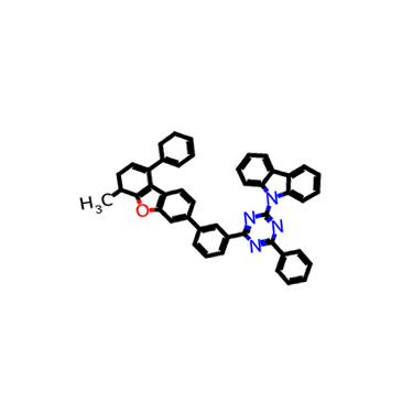 CC1CC=C(C2=CC=CCC2)c2c1oc1cc(-c3cccc(-c4nc(-c5ccccc5)nc(-n5c6ccccc6c6ccccc65)n4)c3)ccc21